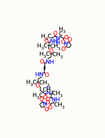 CC(NC(=O)C(C)(C)CCOC(C)(C)CCNC(=O)C#CC(=O)NCCC(C)(C)OCC(C)(C)C(=O)NC(C)C(=O)NC(C)C(=O)ON1C(=O)CCC1=O)C(=O)NC(C)C(=O)ON1C(=O)CCC1=O